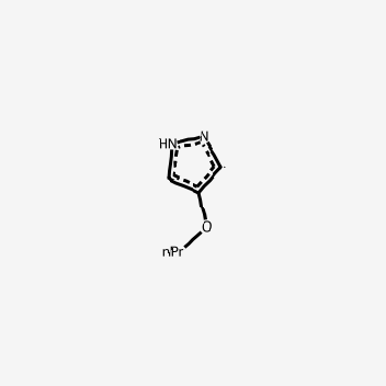 CCCOc1[c]n[nH]c1